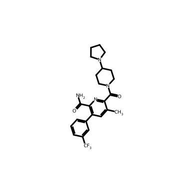 Cc1cc(-c2cccc(C(F)(F)F)c2)c(C(N)=O)nc1C(=O)N1CCC(N2CCCC2)CC1